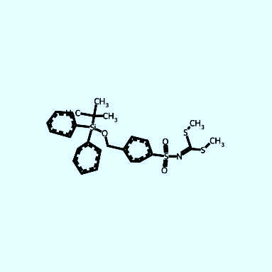 CSC(=NS(=O)(=O)c1ccc(CO[Si](c2ccccc2)(c2ccccc2)C(C)(C)C)cc1)SC